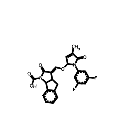 CC1=CC(OC=C2C(=O)N(C(=O)O)C3c4ccccc4CC23)N(c2cc(F)cc(F)c2)C1=O